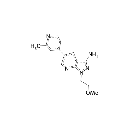 COCCn1nc(N)c2cc(-c3ccnc(C)c3)cnc21